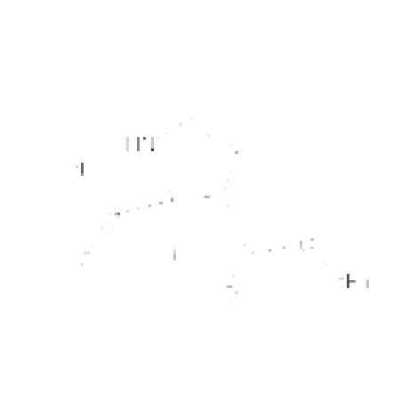 CC(C)(C)OC(=O)C1C=CNC1(C)C(N)=O